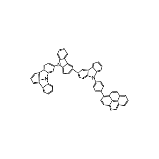 c1cc2ccc3ccc(-c4ccc(-n5c6ccccc6c6cc(-c7ccc8c(c7)c7ccccc7n8-c7ccc8c9cccc%10c%11ccccc%11n(c8c7)c%109)ccc65)cc4)c4ccc(c1)c2c34